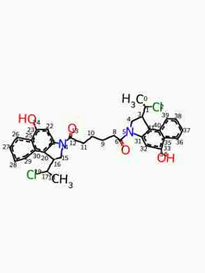 C[C@@H](Cl)C1CN(C(=O)CCCCC(=O)N2C[C@@H]([C@@H](C)Cl)c3c2cc(O)c2ccccc32)c2cc(O)c3ccccc3c21